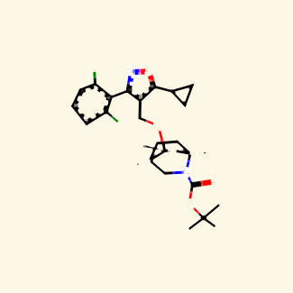 CC(C)(C)OC(=O)N1C[C@H]2CC[C@@H]1C[C@H]2OCc1c(-c2c(Cl)cccc2Cl)noc1C1CC1